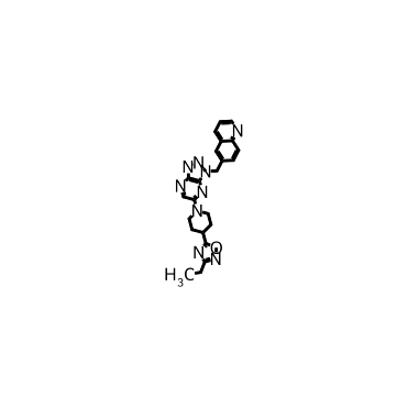 CCc1noc(C2CCN(c3cnc4nnn(Cc5ccc6ncccc6c5)c4n3)CC2)n1